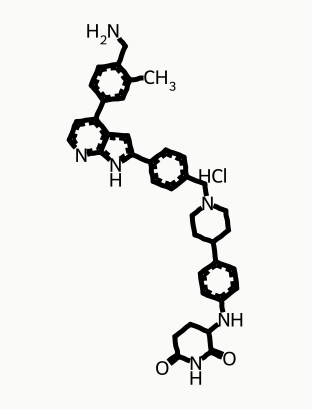 Cc1cc(-c2ccnc3[nH]c(-c4ccc(CN5CCC(c6ccc(NC7CCC(=O)NC7=O)cc6)CC5)cc4)cc23)ccc1CN.Cl